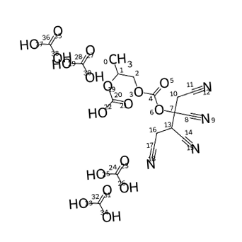 CC(COC(=O)OC(C#N)(CC#N)C(C#N)CC#N)OC(=O)O.O=C(O)O.O=C(O)O.O=C(O)O.O=C(O)O